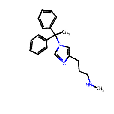 CNCCCc1cn(C(C)(c2ccccc2)c2ccccc2)cn1